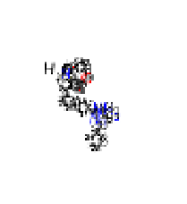 CC12C=CCN1c1ccc(-c3cccc(-c4ccc(/C(N)=N/C(=C\Cc5ccccc5)c5ccccc5)cc4)c3)cc1C21c2ccccc2Oc2ccccc21